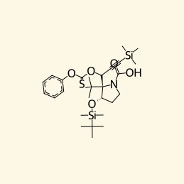 CC(C)(C)[C@@]1(C(C#C[Si](C)(C)C)OC(=S)Oc2ccccc2)[C@@H](O[Si](C)(C)C(C)(C)C)CCN1C(=O)O